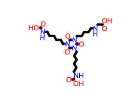 O=C(O)CNCCCCCn1c(=O)n(CCCCCCNC(=O)O)c(=O)n(CCCCCCNC(=O)O)c1=O